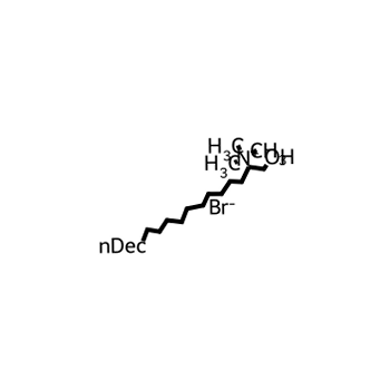 CCCCCCCCCCCCCCCCCCCCC(CO)[N+](C)(C)C.[Br-]